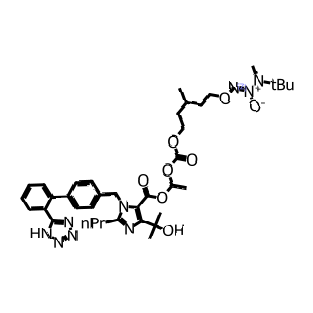 CCCc1nc(C(C)(C)O)c(C(=O)OC(C)OC(=O)OCCC(C)CCO/N=[N+](\[O-])N(C)C(C)(C)C)n1Cc1ccc(-c2ccccc2-c2nnn[nH]2)cc1